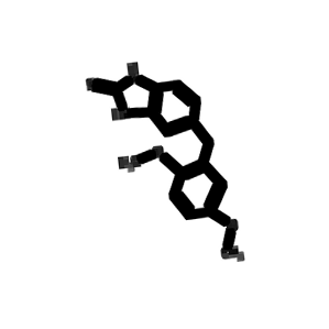 COc1ccc(OC)c(Cc2ccc3[nH]c(=S)[nH]c3c2)c1